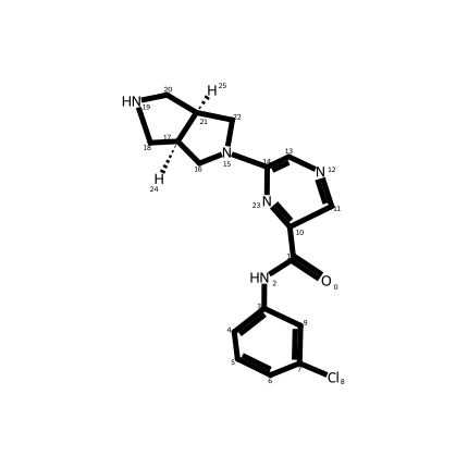 O=C(Nc1cccc(Cl)c1)c1cncc(N2C[C@H]3CNC[C@H]3C2)n1